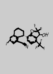 N#Cc1cc(F)cc2c1[C@@H](c1ccc(C(F)(F)F)c3c1OC(F)(F)[C@H]3O)CCC2